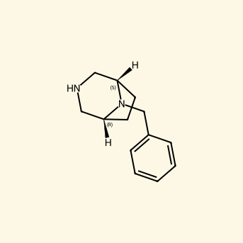 c1ccc(CN2[C@@H]3CC[C@H]2CNC3)cc1